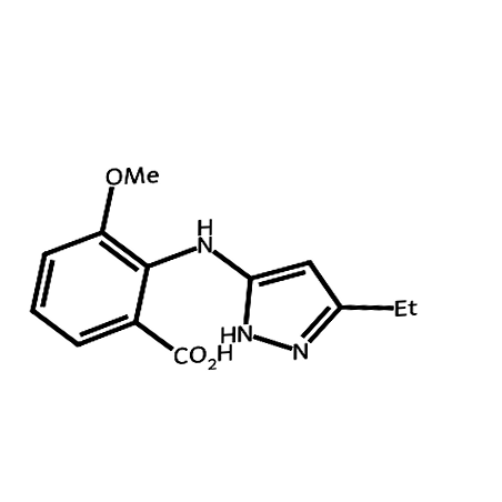 CCc1cc(Nc2c(OC)cccc2C(=O)O)[nH]n1